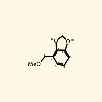 COCc1cccc2c1OCO2